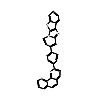 c1cnc2c(c1)ccc1ccc(-c3ccc(-c4ccn5c(c4)nc4c6ccccc6sc45)cc3)nc12